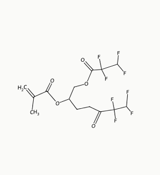 C=C(C)C(=O)OC(CCC(=O)C(F)(F)C(F)F)COC(=O)C(F)(F)C(F)F